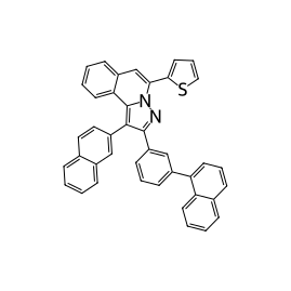 c1cc(-c2nn3c(-c4cccs4)cc4ccccc4c3c2-c2ccc3ccccc3c2)cc(-c2cccc3ccccc23)c1